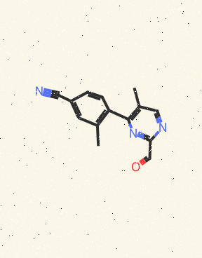 Cc1cc(C#N)ccc1-c1nc(C=O)ncc1C